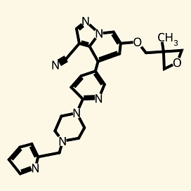 CC1(COc2cc(-c3ccc(N4CCN(Cc5ccccn5)CC4)nc3)c3c(C#N)cnn3c2)COC1